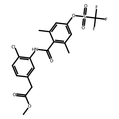 COC(=O)Cc1ccc(Cl)c(NC(=O)c2c(C)cc(OS(=O)(=O)C(F)(F)F)cc2C)c1